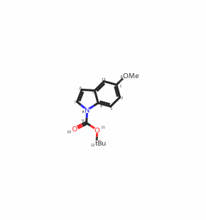 COc1ccc2c([c]cn2C(=O)OC(C)(C)C)c1